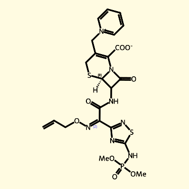 C=CCO/N=C(\C(=O)NC1C(=O)N2C(C(=O)[O-])=C(C[n+]3ccccc3)CS[C@H]12)c1nsc(NP(=O)(OC)OC)n1